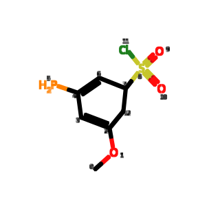 COC1=CC(P)=CC(S(=O)(=O)Cl)C1